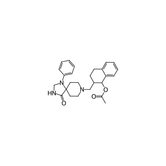 CC(=O)OC1c2ccccc2CCC1CN1CCC2(CC1)C(=O)NCN2c1ccccc1